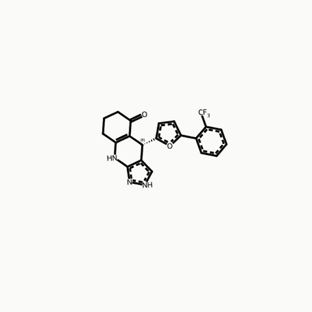 O=C1CCCC2=C1[C@H](c1ccc(-c3ccccc3C(F)(F)F)o1)c1c[nH]nc1N2